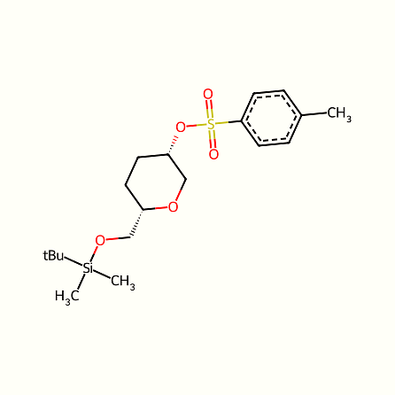 Cc1ccc(S(=O)(=O)O[C@H]2CC[C@@H](CO[Si](C)(C)C(C)(C)C)OC2)cc1